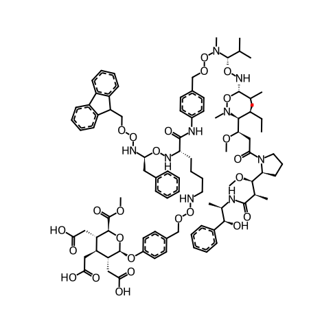 CC[C@H](C)[C@@H]([C@@H](CC(=O)N1CCC[C@H]1[C@H](OC)[C@@H](C)C(=O)N[C@H](C)[C@@H](O)c1ccccc1)OC)N(C)O[C@H](NO[C@@H](C(C)C)N(C)OOCc1ccc(NC(=O)[C@H](CCCCNOOCc2ccc(O[C@@H]3O[C@H](C(=O)OC)[C@@H](CC(=O)O)[C@H](CC(=O)O)[C@H]3CC(=O)O)cc2)NO[C@@H](Cc2ccccc2)NOOCC2c3ccccc3-c3ccccc32)cc1)C(C)C